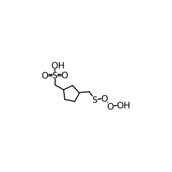 O=S(=O)(O)CC1CCC(CSOOO)C1